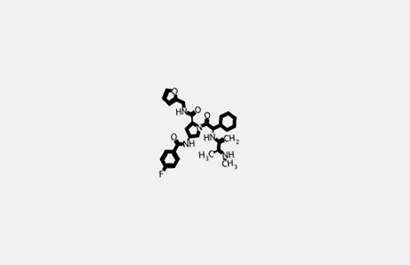 C=C(N[C@H](C(=O)N1C[C@@H](NC(=O)c2ccc(F)cc2)C[C@H]1C(=O)NCc1ccco1)C1CCCCC1)[C@H](C)NC